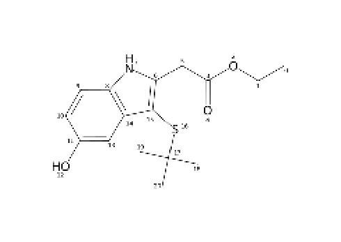 CCOC(=O)Cc1[nH]c2ccc(O)cc2c1SC(C)(C)C